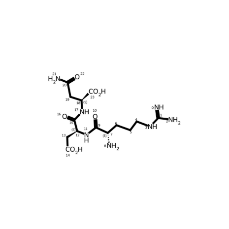 N=C(N)NCCC[C@H](N)C(=O)N[C@@H](CC(=O)O)C(=O)N[C@@H](CC(N)=O)C(=O)O